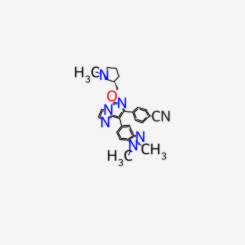 Cc1nc2cc(-c3c(-c4ccc(C#N)cc4)nc(OC[C@@H]4CCCN(C)C4)n4ccnc34)ccc2n1C